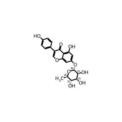 C[C@H]1O[C@H](Oc2cc(O)c3c(=O)c(-c4ccc(O)cc4)coc3c2)[C@@H](O)[C@@H](O)[C@@H]1O